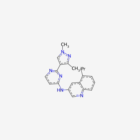 Cc1nn(C)cc1-c1nccc(Nc2cnc3cccc(C(C)C)c3c2)n1